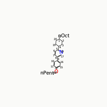 CCCCCCCCC1CCC(c2ccc(-c3ccc(OCCCCC)cc3)cn2)CC1